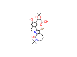 COc1cc2c(cc1C1OC(C)(C)OC1C(=O)O)-c1c(Br)c3c(n1CC2)C(=O)N(C(C)(C)C)CCCC3